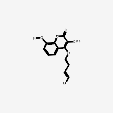 CC/C=C/CCOc1c(OC)c(=O)oc2c(OC(C)C)cccc12